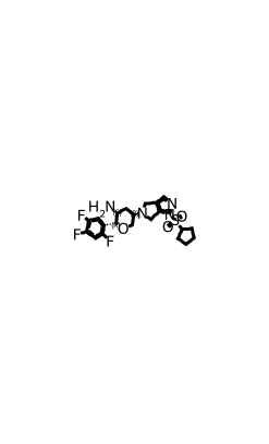 N[C@H]1C[C@@H](N2Cc3cnn(S(=O)(=O)C4CCCC4)c3C2)CO[C@@H]1c1cc(F)c(F)cc1F